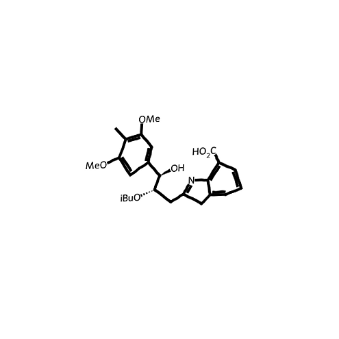 COc1cc([C@@H](O)[C@H](CC2=Nc3c(cccc3C(=O)O)C2)OCC(C)C)cc(OC)c1C